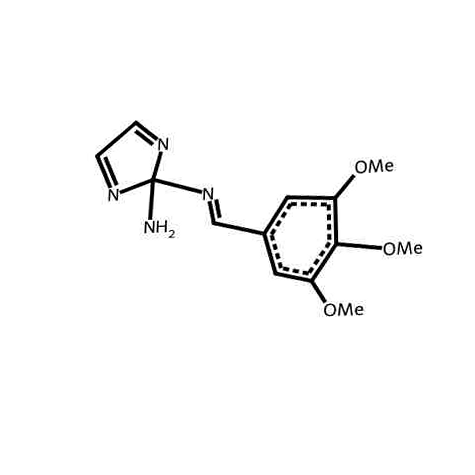 COc1cc(C=NC2(N)N=CC=N2)cc(OC)c1OC